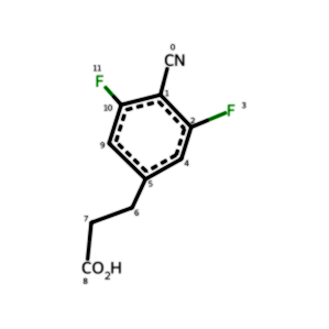 N#Cc1c(F)cc(CCC(=O)O)cc1F